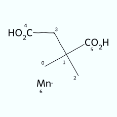 CC(C)(CC(=O)O)C(=O)O.[Mn]